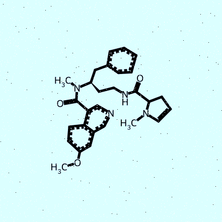 COc1ccc2c(C(=O)N(C)[C@H](CCNC(=O)C3CC=CN3C)Cc3ccccc3)cncc2c1